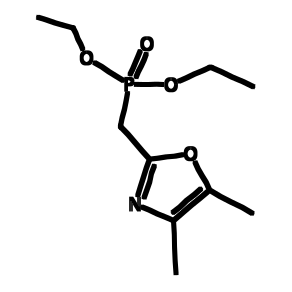 CCOP(=O)(Cc1nc(C)c(C)o1)OCC